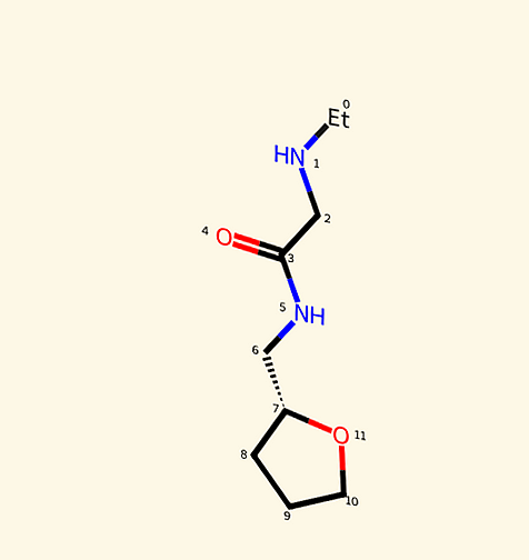 CCNCC(=O)NC[C@H]1CCCO1